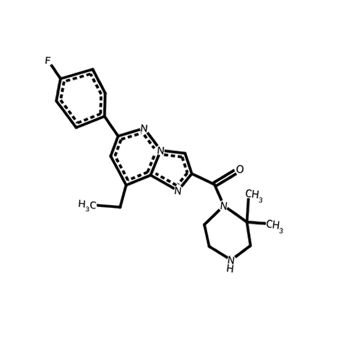 CCc1cc(-c2ccc(F)cc2)nn2cc(C(=O)N3CCNCC3(C)C)nc12